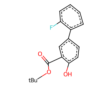 CC(C)(C)OC(=O)c1cc(-c2ccccc2F)ccc1O